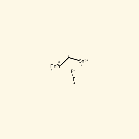 CCC[CH2][Sn+3].[F-].[F-].[F-]